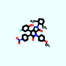 COc1ccc(-n2c3c(c(-c4cc(F)ccc4O)c(-c4ccc([N+](=O)[O-])cc4)c2=O)CN(c2c(C)cccc2C)C3=O)cc1